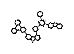 c1ccc(-c2nc(-c3cccc(-c4cccc5sc6ccc(-c7ccc8c9ccccc9c9ccccc9c8c7)cc6c45)c3)nc(-c3ccc4c(c3)sc3ccccc34)n2)cc1